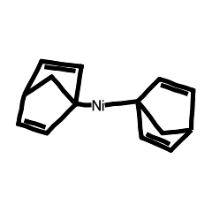 C1=C[C]2([Ni][C]34C=CC(C=C3)C4)C=CC1C2